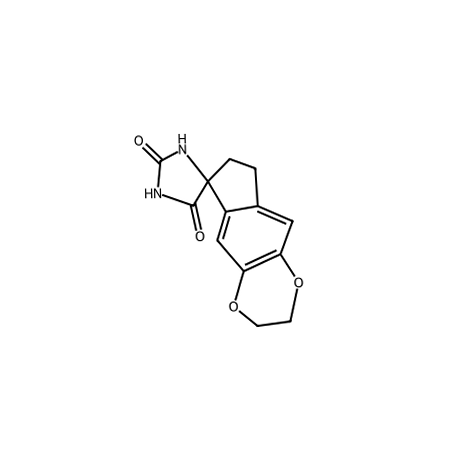 O=C1NC(=O)C2(CCc3cc4c(cc32)OCCO4)N1